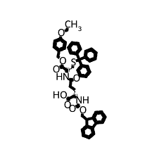 CCOc1ccc(COC(=O)[C@H](CSC(c2ccccc2)(c2ccccc2)c2ccccc2)NC(=O)CC[C@H](NC(=O)OCC2c3ccccc3-c3ccccc32)C(=O)O)cc1